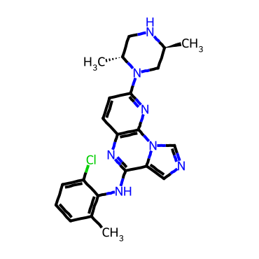 Cc1cccc(Cl)c1Nc1nc2ccc(N3C[C@H](C)NC[C@H]3C)nc2n2cncc12